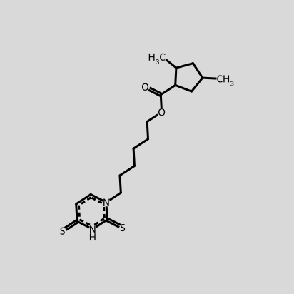 CC1CC(C)C(C(=O)OCCCCCCn2ccc(=S)[nH]c2=S)C1